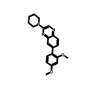 COc1ccc(-c2ccc3ncc(N4CCCCC4)nc3c2)c(OC)c1